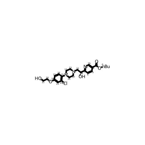 CCCCOC(=O)c1ccc([C@H](O)CN2CCN(c3ccc(OCCO)cc3Cl)CC2)nc1